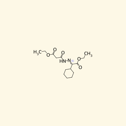 CCOC(=O)CC(=O)N/N=C(/C(=O)OCC)C1CCCCC1